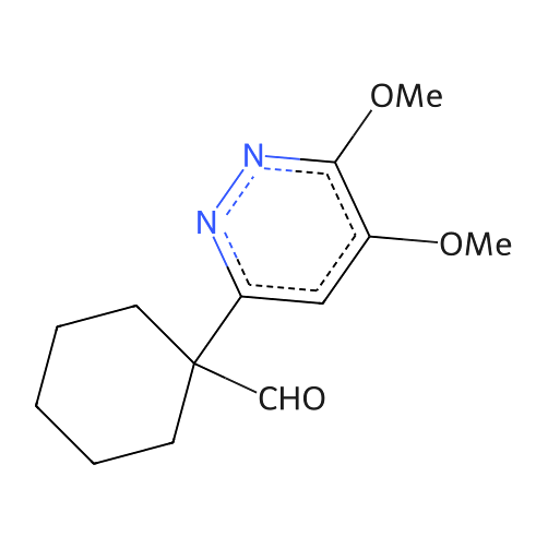 COc1cc(C2(C=O)CCCCC2)nnc1OC